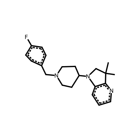 CC1(C)CN(C2CCN(Cc3ccc(F)cc3)CC2)c2cccnc21